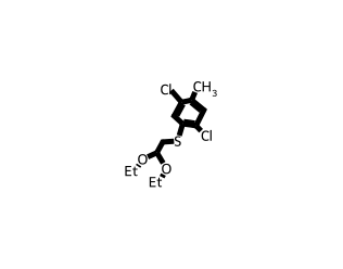 CCOC(CSc1cc(Cl)c(C)cc1Cl)OCC